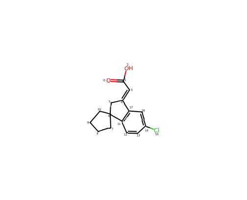 O=C(O)C=C1CC2(CCCC2)c2ccc(Cl)cc21